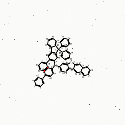 c1ccc(-c2ccc(N(c3cnc4c(c3)sc3cc5ccccc5cc34)c3cc4c(cc3-c3ccccc3)-c3ccccc3C4(c3ccccc3)c3ccccc3)cc2)cc1